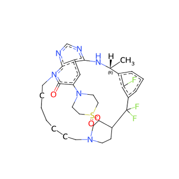 C[C@H]1Nc2ncnc3c2cc(N2CCS(=O)(=O)CC2)c(=O)n3CCCCCCCN2CCC(CC2)C(F)(F)c2cccc1c2F